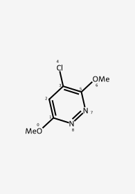 COc1cc(Cl)c(OC)nn1